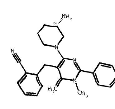 C=C1C(Cc2ccccc2C#N)=C(N2CCC[C@H](N)C2)N=C(c2ccccc2)N1C